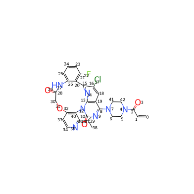 C=CC(=O)N1CCN(c2nc(=O)n3c4nc(c(Cl)cc24)-c2c(F)cccc2NC(=O)COc2ccnc(C(C)C)c2-3)CC1